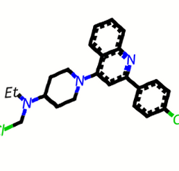 CCN(CCl)C1CCN(c2cc(-c3ccc(Cl)cc3)nc3ccccc23)CC1